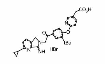 Br.CC(C)(C)c1cc(C(=O)CN2Cc3ccc(C4CC4)nc3C2=N)ccc1Oc1ccc(CC(=O)O)cn1